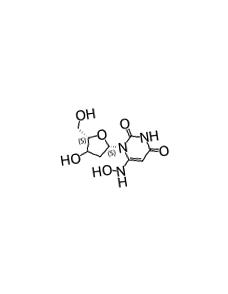 O=c1cc(NO)n([C@@H]2CC(O)[C@H](CO)O2)c(=O)[nH]1